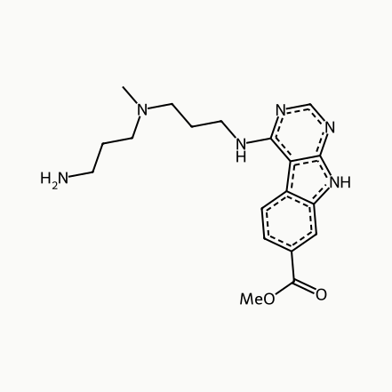 COC(=O)c1ccc2c(c1)[nH]c1ncnc(NCCCN(C)CCCN)c12